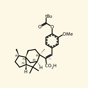 COc1cc(/C=C(/C(=O)O)[C@]2(C)CC[C@@]34C[C@@H]2C(C)(C)[C@@H]3CC[C@H]4C)ccc1OC(=O)C(C)(C)C